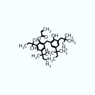 C=CC(=O)Oc1c(Cc2cc(C(C)(C)CC)cc(CC(C)(C)C)c2O)cc(C(C)(C)CC)cc1C(C)(C)CC